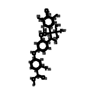 COC(=O)c1ccc(Oc2ccc(C(C)C(O)(c3cc(C)c(=O)n(C)c3)C(F)(F)F)c(Cl)c2)cc1F